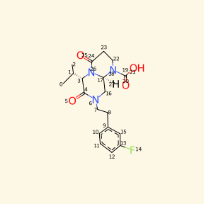 CC(C)[C@H]1C(=O)N(CCc2cccc(F)c2)C[C@@H]2N(C(=O)O)CCC(=O)N12